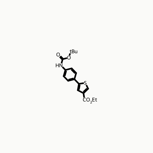 CCOC(=O)c1csc(-c2ccc(NC(=O)OC(C)(C)C)cc2)c1